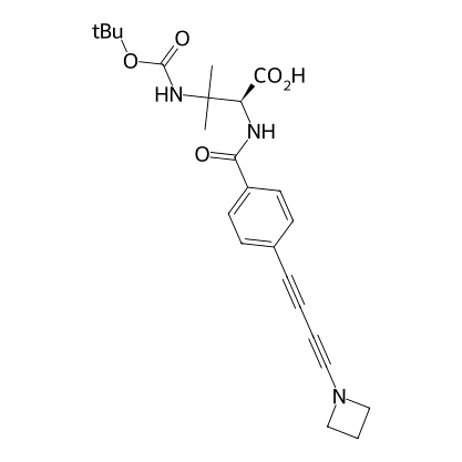 CC(C)(C)OC(=O)NC(C)(C)[C@H](NC(=O)c1ccc(C#CC#CN2CCC2)cc1)C(=O)O